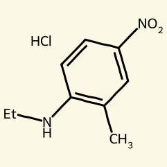 CCNc1ccc([N+](=O)[O-])cc1C.Cl